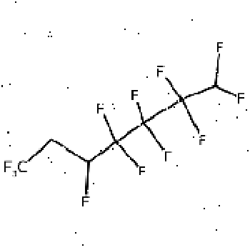 FC(F)C(F)(F)C(F)(F)C(F)(F)C(F)CC(F)(F)F